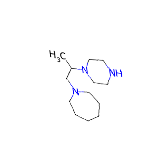 CC(CN1CCCCCC1)N1CCNCC1